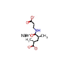 C[C@@H](C[C@H](C)C(=O)NCCC(=O)[O-])C(=O)[O-].[Na+].[Na+]